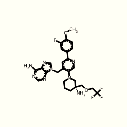 COc1ccc(-c2cc(Cn3cnc4c(N)ncnc43)c(N3CCC[C@](N)(COCC(F)(F)F)C3)cn2)cc1F